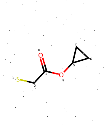 O=C(C[S])OC1CC1